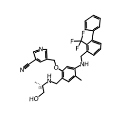 Cc1cc(CN[C@@H](C)CO)c(OCc2cncc(C#N)c2)cc1NCc1cccc(-c2ccccc2)c1C(F)(F)F